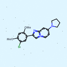 COc1cc(OC)c(-c2cn3ccc(N4CCCC4)cc3n2)cc1Br